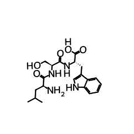 CC(C)C[C@H](N)C(=O)N[C@@H](CO)C(=O)N[C@@H](Cc1c[nH]c2ccccc12)C(=O)O